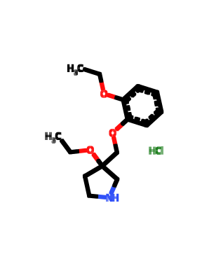 CCOc1ccccc1OCC1(OCC)CCNC1.Cl